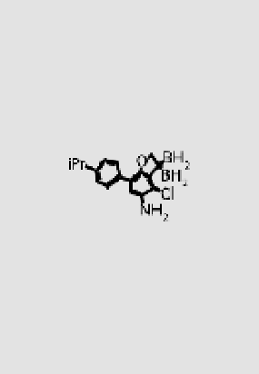 BC1(B)COc2c(-c3ccc(C(C)C)cc3)cc(N)c(Cl)c21